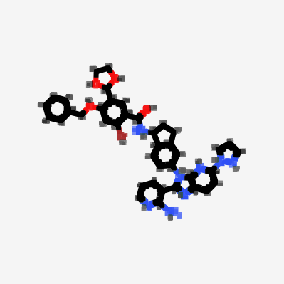 Nc1ncccc1-c1nc2ccc(-n3cccn3)nc2n1-c1ccc2c(c1)CC[C@@H]2NC(=O)c1cc(C2OCCO2)c(OCc2ccccc2)cc1Br